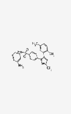 Cc1ccc(C)c(-c2cc(C(F)(F)F)nn2-c2ccc(S(=O)(=O)Nc3cccc(N)c3)cc2)c1